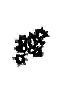 O=C1c2ccccc2C(=O)N1CC(=O)N(Cc1ccno1)[C@@H]1c2ccccc2CC[C@H]1Cc1ccccc1